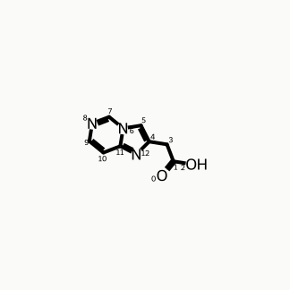 O=C(O)Cc1cn2cnccc2n1